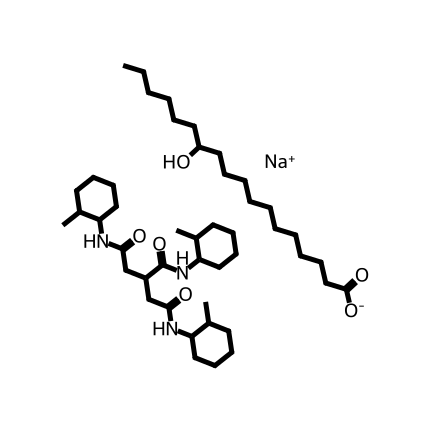 CC1CCCCC1NC(=O)CC(CC(=O)NC1CCCCC1C)C(=O)NC1CCCCC1C.CCCCCCC(O)CCCCCCCCCCC(=O)[O-].[Na+]